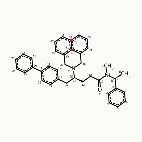 C[C@@H](c1ccccc1)N(C)C(=O)CC[C@@H](Cc1ccc(-c2ccccc2)cc1)N(Cc1ccccc1)Cc1ccccc1